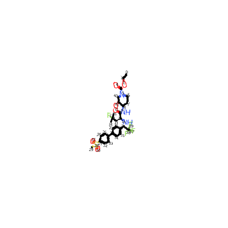 CCOC(=O)N1CCC(NC(=O)[C@H](CC(C)(C)F)N[C@@H](c2ccc(-c3ccc(S(C)(=O)=O)cc3)cc2)C(F)(F)F)C(=O)C1